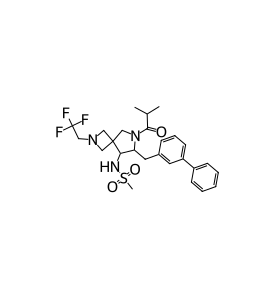 CC(C)C(=O)N1CC2(CN(CC(F)(F)F)C2)C(NS(C)(=O)=O)C1Cc1cccc(-c2ccccc2)c1